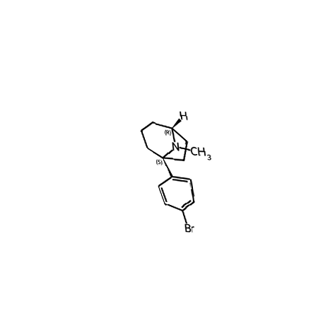 CN1[C@@H]2CCC[C@@]1(c1ccc(Br)cc1)CC2